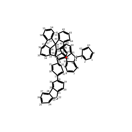 c1ccc(-n2c3ccccc3c3c(N(c4ccc(-c5ccc6sc7ccccc7c6c5)cc4)c4cccc5c4C4(c6ccccc6-c6ccccc64)c4ccccc4-5)cccc32)cc1